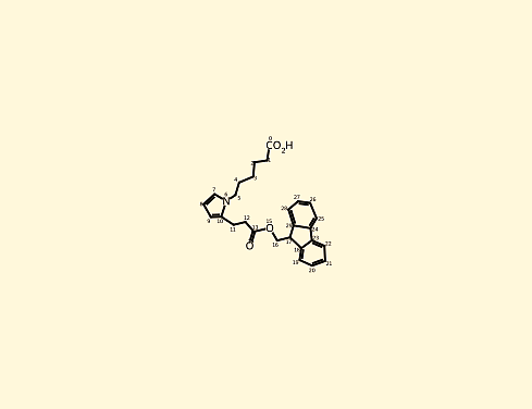 O=C(O)CCCCCn1cccc1CCC(=O)OCC1c2ccccc2-c2ccccc21